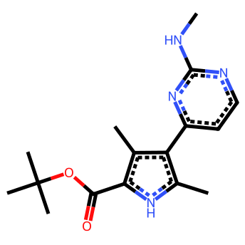 CNc1nccc(-c2c(C)[nH]c(C(=O)OC(C)(C)C)c2C)n1